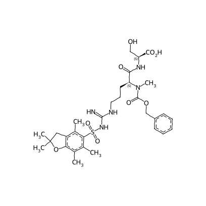 Cc1c(C)c(S(=O)(=O)NC(=N)NCCC[C@@H](C(=O)N[C@@H](CO)C(=O)O)N(C)C(=O)OCc2ccccc2)c(C)c2c1OC(C)(C)C2